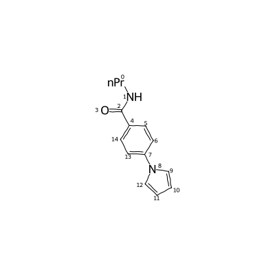 CCCNC(=O)c1ccc(-n2cccc2)cc1